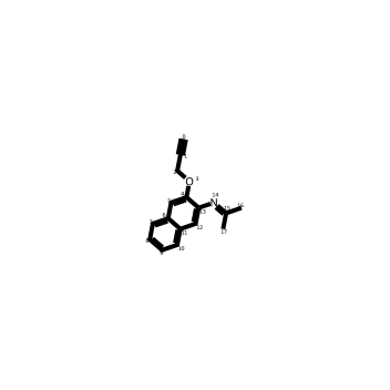 C#CCOc1cc2ccccc2cc1N=C(C)C